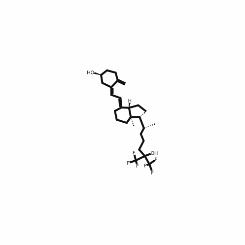 C=C1CC[C@H](O)C/C1=C/C=C1\CCC[C@]2(C)[C@@H]([C@H](C)CCCC(O)(C(F)(F)F)C(F)(F)F)CC[C@@H]12